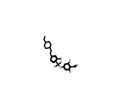 CCC1CCC(CCc2ccc(C(F)(F)Oc3cc(F)c(C#N)c(F)c3)c(F)c2)CC1